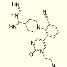 CN(C)CCn1cc(-c2cccc(C#N)c2N2CCC(C(=N)N(C)C=N)CC2)cnc1=O